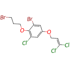 ClC(Cl)=CCOc1cc(Cl)c(OCCCBr)c(Br)c1